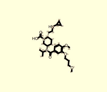 COCCCOc1cc(C(=O)N(C(C)C)[C@@H]2CC[C@@H](CCNC3CC3)N(C(=O)O)C2)ccc1OC